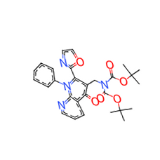 CC(C)(C)OC(=O)N(Cc1c(-c2ncco2)n(-c2ccccc2)c2ncccc2c1=O)C(=O)OC(C)(C)C